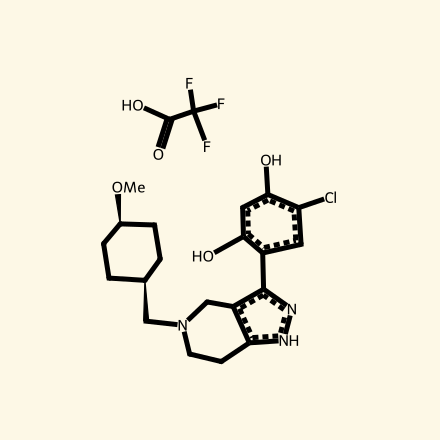 CO[C@H]1CC[C@@H](CN2CCc3[nH]nc(-c4cc(Cl)c(O)cc4O)c3C2)CC1.O=C(O)C(F)(F)F